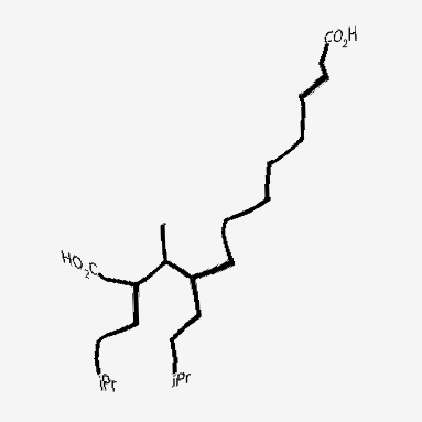 CC(C)CCC(CCCCCCCC(=O)O)C(C)C(CCC(C)C)C(=O)O